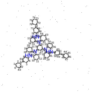 c1ccc(-c2ccc(Nc3ccccc3N(c3ccccc3)c3cc(N(c4ccccc4)c4ccccc4Nc4ccc(-c5ccccc5)cc4)cc(N(c4ccccc4)c4ccccc4Nc4ccc(-c5ccccc5)cc4)c3)cc2)cc1